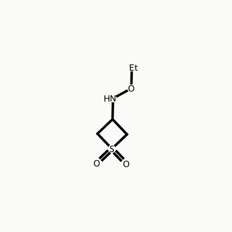 CCONC1CS(=O)(=O)C1